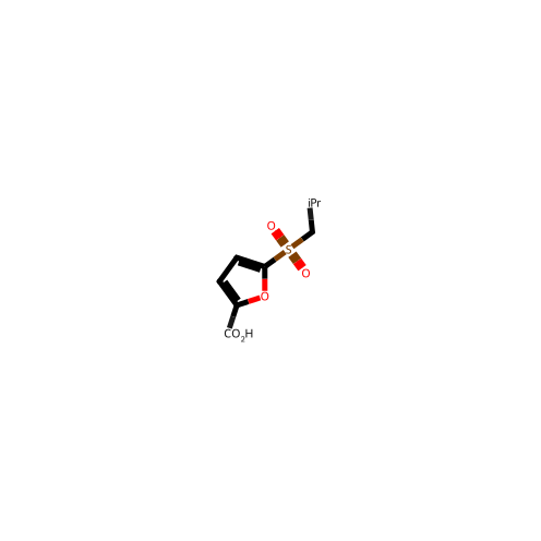 CC(C)CS(=O)(=O)c1ccc(C(=O)O)o1